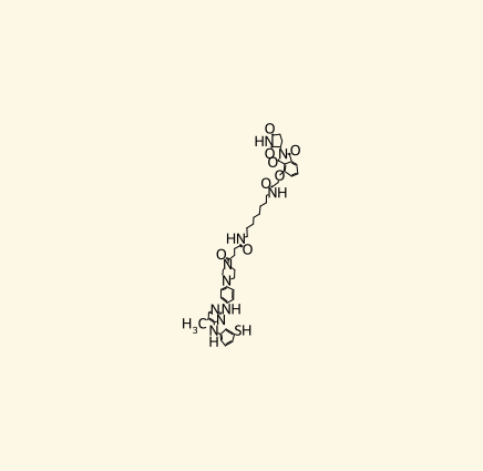 Cc1cnc(Nc2ccc(N3CCN(C(=O)CCC(=O)NCCCCCCCCNC(=O)COc4cccc5c4C(=O)N(C4CCC(=O)NC4=O)C5=O)CC3)cc2)nc1Nc1cccc(S)c1